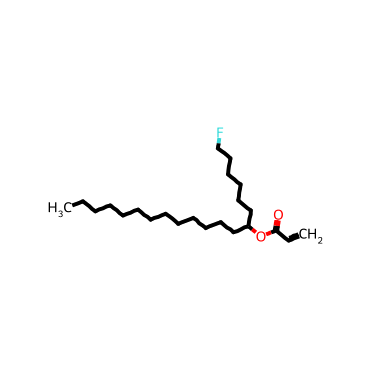 C=CC(=O)OC(CCCCCCF)CCCCCCCCCCCCC